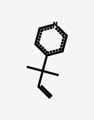 C=CC(C)(C)c1ccncc1